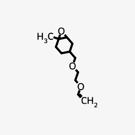 C=COCCOCC1CCC2(C)OC2C1